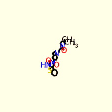 CC1(C)CCN(C(=O)CCn2ccc3cc(-n4c(=O)[nH]c5sc6c(c5c4=O)CCCCC6)ccc32)C1